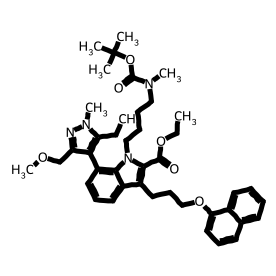 CCOC(=O)c1c(CCCOc2cccc3ccccc23)c2cccc(-c3c(COC)nn(C)c3CC)c2n1CCCCN(C)C(=O)OC(C)(C)C